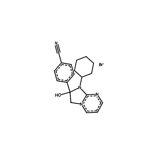 N#Cc1ccc(C2(O)C[n+]3cccnc3N2C2CCCCC2)cc1.[Br-]